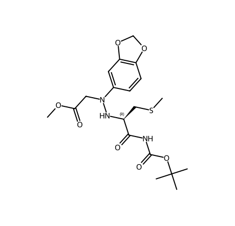 COC(=O)CN(N[C@@H](CSC)C(=O)NC(=O)OC(C)(C)C)c1ccc2c(c1)OCO2